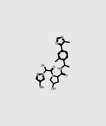 Cc1cc(-c2ocnc2C)ccc1C(C)NC(=O)C1CC(O)CN1C(=O)C(C(C)C)n1cc(C(C)(C)C)cn1